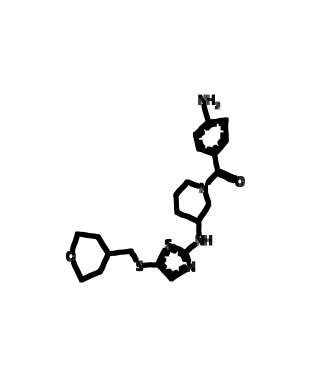 Nc1ccc(C(=O)N2CCCC(Nc3ncc(SCC4CCOCC4)s3)C2)cc1